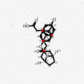 O=C(O)Cc1cc(Cl)ccc1OCC(=O)N1[C@@H]2CC[C@H]1CC(Oc1ccc(F)cc1)C2